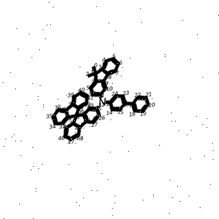 CC1(C)c2ccccc2-c2cc(N(c3ccc(-c4ccccc4)cc3)c3ccc4c(c3)C3(c5ccccc5-c5ccccc53)C3C=CC=CC43)ccc21